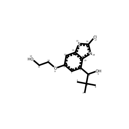 CC(C)(C)C(O)c1cc(OCCO)cc2sc(Cl)nc12